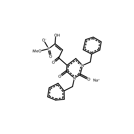 COP(=O)([O-])C(O)=CC(=O)c1cn(Cc2ccccc2)c(=O)n(Cc2ccccc2)c1=O.[Na+]